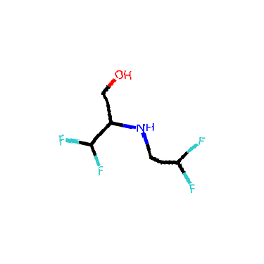 OCC(NCC(F)F)C(F)F